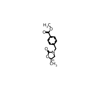 COC(=O)c1ccc(CN2C[C@@H](C)OC2=O)cc1